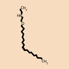 CCCCCCCC/C=C\CCCCCCCCOCCNCCC